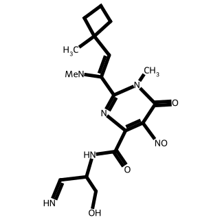 CN/C(=C\C1(C)CCC1)c1nc(C(=O)NC(C=N)CO)c(N=O)c(=O)n1C